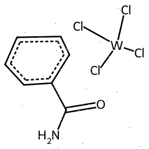 NC(=O)c1ccccc1.[Cl][W]([Cl])([Cl])[Cl]